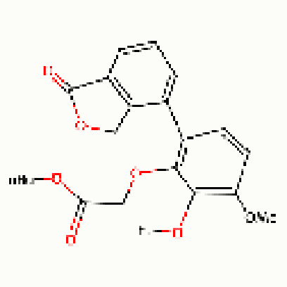 CCCCOC(=O)COc1c(-c2cccc3c2COC3=O)ccc(OC)c1OCC